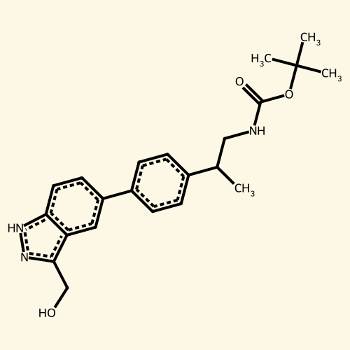 CC(CNC(=O)OC(C)(C)C)c1ccc(-c2ccc3[nH]nc(CO)c3c2)cc1